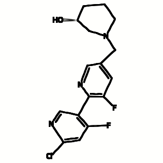 O[C@@H]1CCCN(Cc2cnc(-c3cnc(Cl)cc3F)c(F)c2)C1